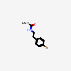 COC(=O)NCCc1ccc(Br)cc1